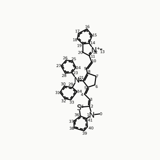 CN1/C(=C/C=C2\CCC(/C=C/C3=[N+](C)c4ccccc4C3)=C2N(c2ccccc2)c2ccccc2)Sc2ccccc21